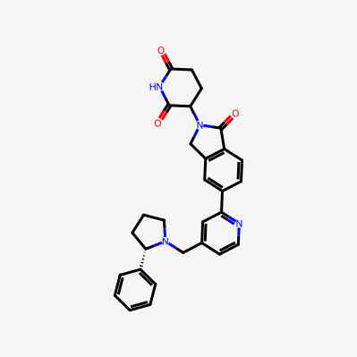 O=C1CCC(N2Cc3cc(-c4cc(CN5CCC[C@H]5c5ccccc5)ccn4)ccc3C2=O)C(=O)N1